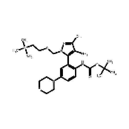 Cc1nn(COCC[Si](C)(C)C)c(-c2cc(N3CCOCC3)ccc2NC(=O)OC(C)(C)C)c1N